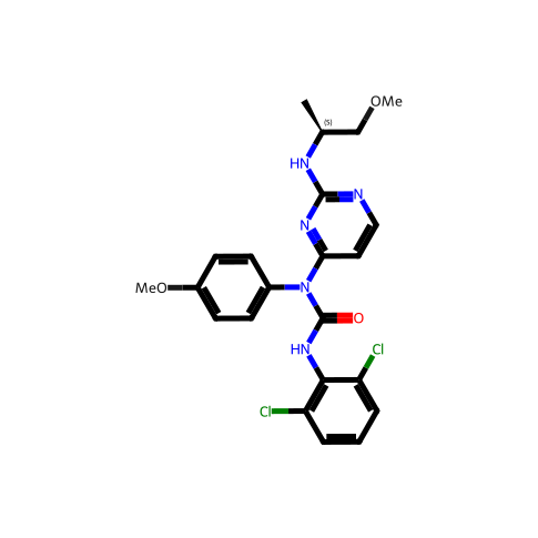 COC[C@H](C)Nc1nccc(N(C(=O)Nc2c(Cl)cccc2Cl)c2ccc(OC)cc2)n1